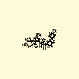 CCc1ccc(-c2cc(NC(=O)Nc3cn(C(C)(C)C)nc3C(=O)N3CCN(C)C(=O)C3(C)C)ccc2C)cn1